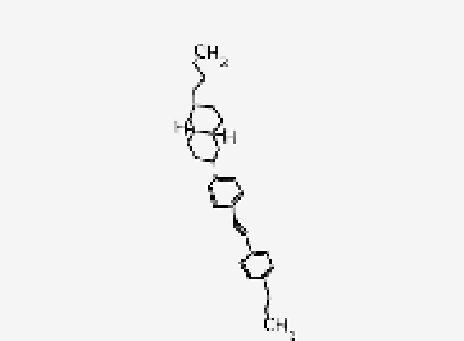 CCCCC1CC[C@@H]2C[C@H](c3ccc(C#Cc4ccc(CCC)cc4)cc3)CC[C@@H]2C1